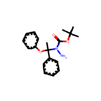 CC(C)(C)OC(=O)N(N)C(C)(Oc1ccccc1)c1ccccc1